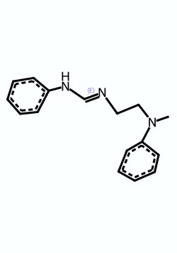 CN(CC/N=C/Nc1ccccc1)c1ccccc1